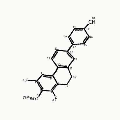 CCCCCc1c(F)cc2c(c1F)CCc1cc(-c3ccc(C#N)cc3)ccc1-2